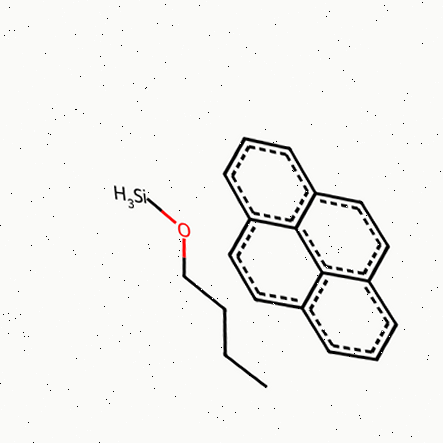 CCCCO[SiH3].c1cc2ccc3cccc4ccc(c1)c2c34